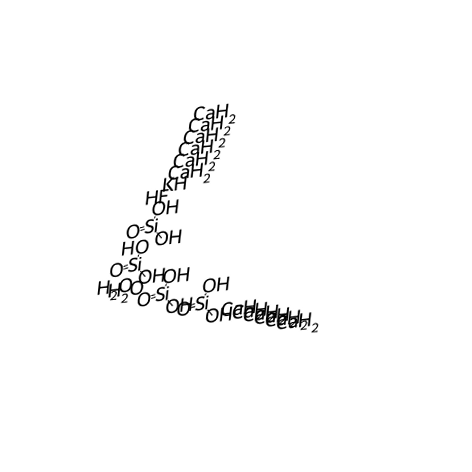 F.O.O.O=[Si](O)O.O=[Si](O)O.O=[Si](O)O.O=[Si](O)O.[CaH2].[CaH2].[CaH2].[CaH2].[CaH2].[CaH2].[CaH2].[CaH2].[CaH2].[CaH2].[CaH2].[CaH2].[KH]